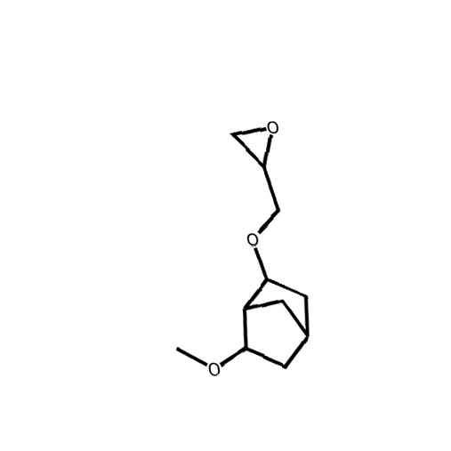 COC1CC2CC(OCC3CO3)C1C2